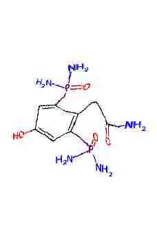 NC(=O)Cc1c(P(N)(N)=O)cc(O)cc1P(N)(N)=O